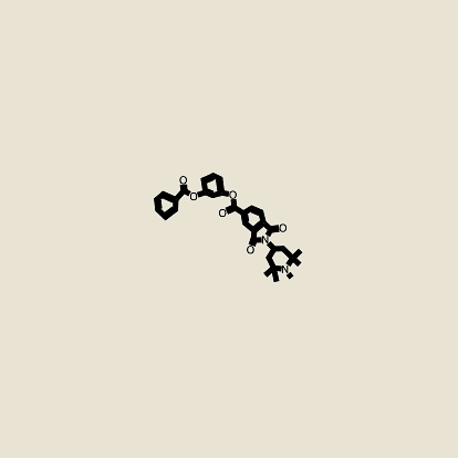 CN1C(C)(C)CC(N2C(=O)c3ccc(C(=O)Oc4cccc(OC(=O)c5ccccc5)c4)cc3C2=O)CC1(C)C